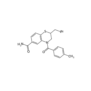 Cc1ccc(C(=O)N2CC(CC(C)C)Sc3ccc(C(N)=O)cc32)cc1